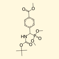 COC(=O)c1ccc(C(NC(=O)OC(C)(C)C)P(=O)(OC)OC)cc1